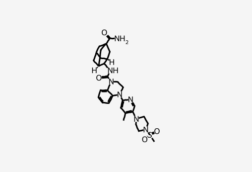 Cc1cc(N2CCN(C(=O)NC3[C@@H]4CC5C[C@H]3CC(C(N)=O)(C5)C4)c3ccccc32)ncc1N1CCN(S(C)(=O)=O)CC1